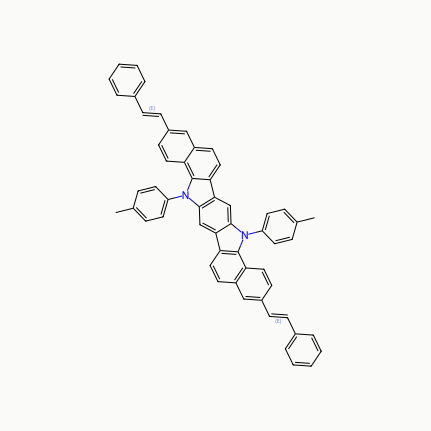 Cc1ccc(-n2c3cc4c5ccc6cc(/C=C/c7ccccc7)ccc6c5n(-c5ccc(C)cc5)c4cc3c3ccc4cc(/C=C/c5ccccc5)ccc4c32)cc1